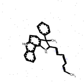 C\C=C/C=C\C=C\C1Nc2c(ccc3[nH]c4ccccc4c23)C1(C)c1ccccc1